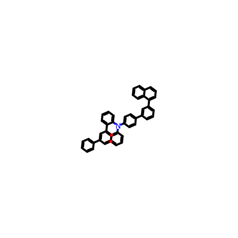 c1ccc(-c2cccc(-c3ccccc3N(c3ccccc3)c3ccc(-c4cccc(-c5cccc6ccccc56)c4)cc3)c2)cc1